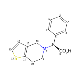 O=C(O)[C@H](c1ccccc1)N1CCc2sccc2C1